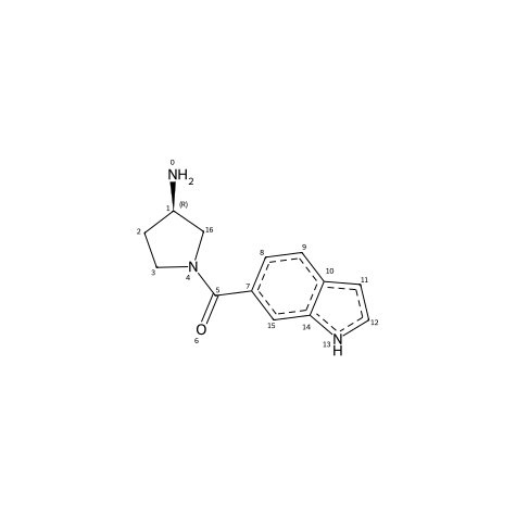 N[C@@H]1CCN(C(=O)c2ccc3cc[nH]c3c2)C1